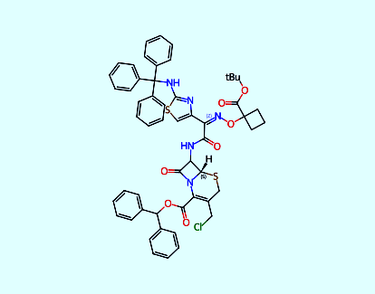 CC(C)(C)OC(=O)C1(O/N=C(\C(=O)NC2C(=O)N3C(C(=O)OC(c4ccccc4)c4ccccc4)=C(CCl)CS[C@@H]23)c2csc(NC(c3ccccc3)(c3ccccc3)c3ccccc3)n2)CCC1